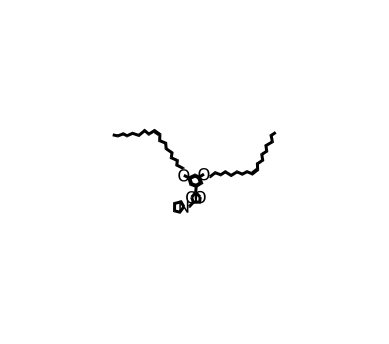 CCCCCCCC/C=C\CCCCCCCCOc1cc(OCCCCCCCC/C=C\CCCCCCCC)cc(C2OCC(CN3CCCC3)O2)c1